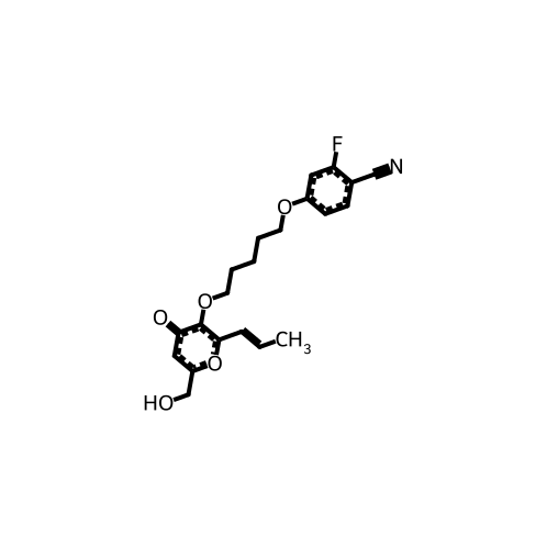 CC=Cc1oc(CO)cc(=O)c1OCCCCCOc1ccc(C#N)c(F)c1